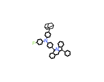 Fc1ccc(N(c2ccc(-c3c4ccccc4cc4c(-c5ccccc5)c5ccccc5n34)cc2)c2ccc(C34CC5CC(CC(C5)C3)C4)cc2)cc1